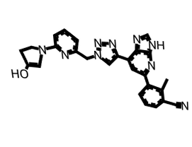 Cc1c(C#N)cccc1-c1cc(-c2cn(Cc3cccc(N4C=C(O)CC4)n3)nn2)c2nc[nH]c2n1